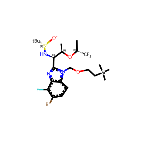 C[C@@H](O[C@H](C)C(F)(F)F)[C@H](N[S@@+]([O-])C(C)(C)C)c1nc2c(F)c(Br)ccc2n1COCC[Si](C)(C)C